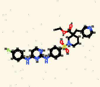 CCOC(=O)C1(Cc2cccnc2)CCCN(S(=O)(=O)c2ccc(Nc3nccc(Nc4ccc(F)cc4)n3)cc2)C1